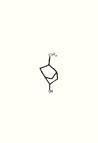 [CH2]C1CC2CC1CC2O